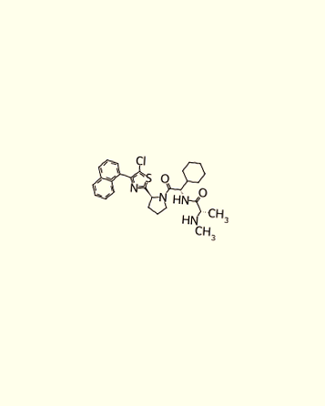 CN[C@@H](C)C(=O)N[C@H](C(=O)N1CCC[C@H]1c1nc(-c2cccc3ccccc23)c(Cl)s1)C1CCCCC1